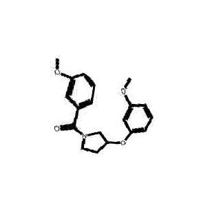 COc1cccc(OC2CCN(C(=O)c3cccc(OC)c3)C2)c1